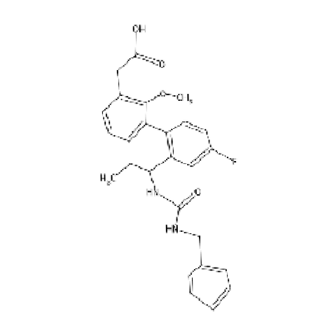 CCC(NC(=O)NCc1ccccc1)c1cc(F)ccc1-c1cccc(CC(=O)O)c1OC